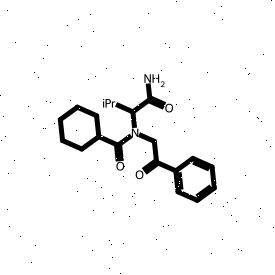 CC(C)C(C(N)=O)N(CC(=O)c1ccccc1)C(=O)C1CCCCC1